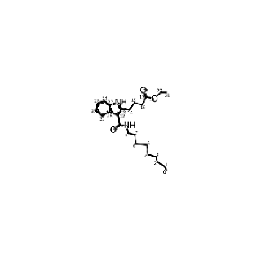 CCCCCCCCCNC(=O)c1c(CCCC(=O)OCC)[nH]c2ccccc12